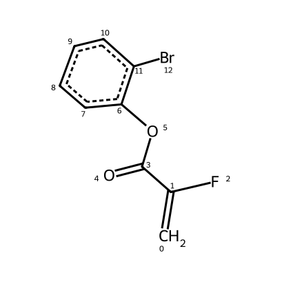 C=C(F)C(=O)Oc1ccccc1Br